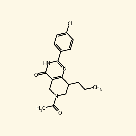 CCCC1CN(C(C)=O)Cc2c1nc(-c1ccc(Cl)cc1)[nH]c2=O